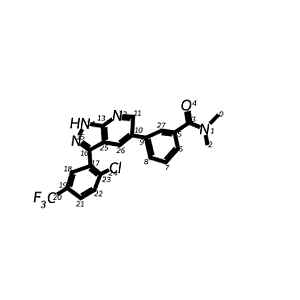 CN(C)C(=O)c1cccc(-c2cnc3[nH]nc(-c4cc(C(F)(F)F)ccc4Cl)c3c2)c1